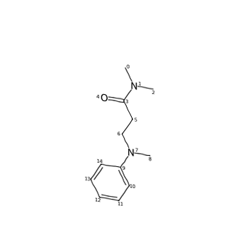 CN(C)C(=O)CCN(C)c1ccccc1